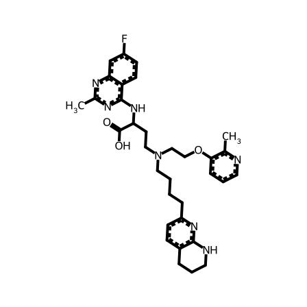 Cc1nc(NC(CCN(CCCCc2ccc3c(n2)NCCC3)CCOc2cccnc2C)C(=O)O)c2ccc(F)cc2n1